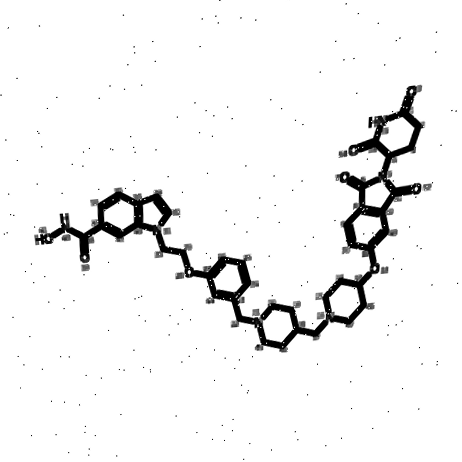 O=C1CCC(N2C(=O)c3ccc(OC4CCN(CC5CCN(Cc6cccc(OCCn7ccc8ccc(C(=O)NO)cc87)c6)CC5)CC4)cc3C2=O)C(=O)N1